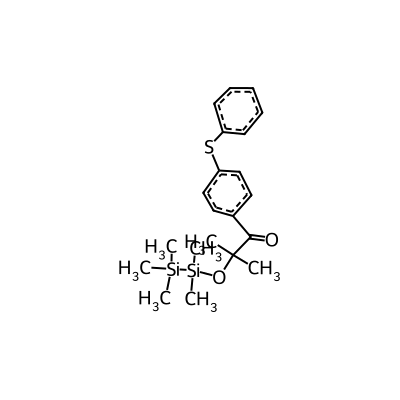 CC(C)(O[Si](C)(C)[Si](C)(C)C)C(=O)c1ccc(Sc2ccccc2)cc1